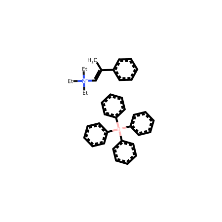 CC[N+](C=C(C)c1ccccc1)(CC)CC.c1ccc([B-](c2ccccc2)(c2ccccc2)c2ccccc2)cc1